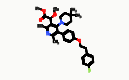 Cc1nc(C#N)c([C@H](OC(C)(C)C)C(=O)OC(C)C)c(N2CCC(C)(C)CC2)c1-c1ccc(OCCc2ccc(F)cc2)cc1